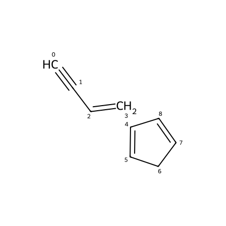 C#CC=C.C1=CCC=C1